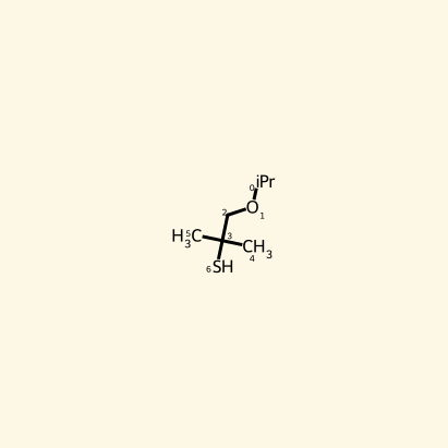 CC(C)OCC(C)(C)S